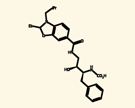 CCC1Oc2cc(C(=O)NC[C@H](O)[C@H](Cc3ccccc3)NC(=O)O)ccc2N1CC(C)C